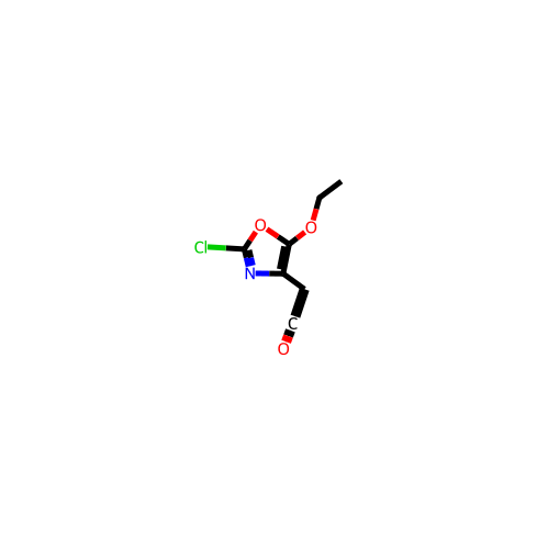 CCOc1oc(Cl)nc1C=C=O